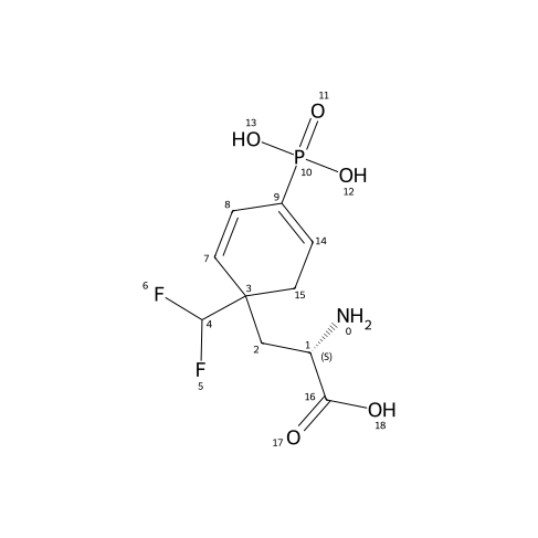 N[C@@H](CC1(C(F)F)C=CC(P(=O)(O)O)=CC1)C(=O)O